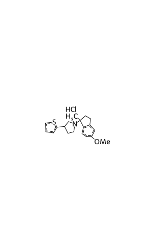 COc1ccc2c(c1)CCC2(C)N1CCC(c2cccs2)C1.Cl